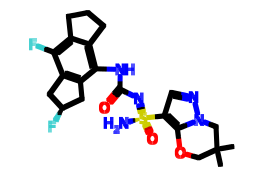 CC1(C)COc2c([S@](N)(=O)=NC(=O)Nc3c4c(c(F)c5c3C[C@@H](F)C5)CCC4)cnn2C1